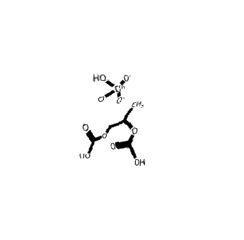 CC(COC(=O)O)OC(=O)O.[O-][Cl+3]([O-])([O-])O